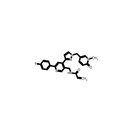 C=CC(=O)NCc1cnc(-c2ccc(F)cc2)cc1-c1ccn(Cc2ccc(=O)n(C)c2)n1